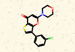 O=c1cc(N2CCOCC2)oc2c(-c3cccc(Cl)c3)csc12